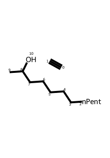 C#C.CCCCCCCCCCC(C)O